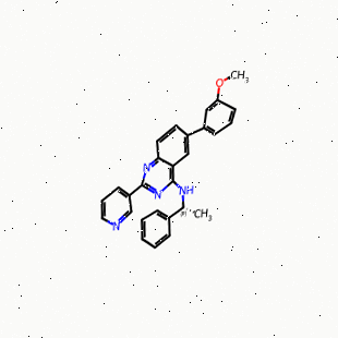 COc1cccc(-c2ccc3nc(-c4cccnc4)nc(N[C@H](C)c4ccccc4)c3c2)c1